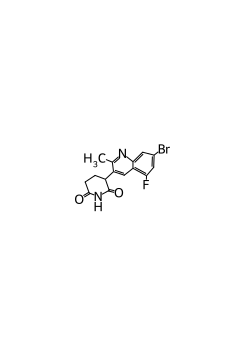 Cc1nc2cc(Br)cc(F)c2cc1C1CCC(=O)NC1=O